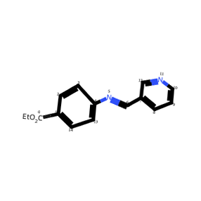 CCOC(=O)c1ccc(N=Cc2cccnc2)cc1